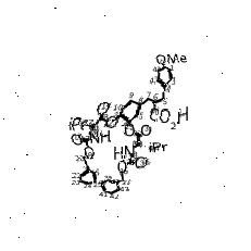 COc1ccc(CC(Cc2ccc(OC(=O)[C@@H](NC(=O)OCc3ccccc3)C(C)C)c(OC(=O)[C@@H](NC(=O)OCc3ccccc3)C(C)C)c2)C(=O)O)cc1